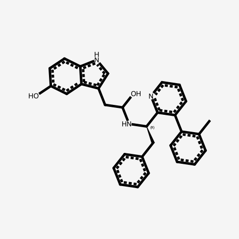 Cc1ccccc1-c1cccnc1[C@@H](Cc1ccccc1)NC(O)Cc1c[nH]c2ccc(O)cc12